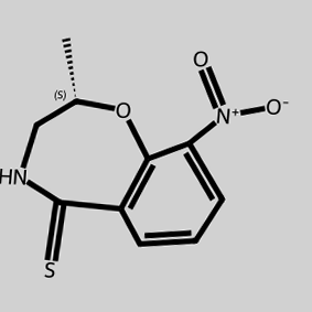 C[C@H]1CNC(=S)c2cccc([N+](=O)[O-])c2O1